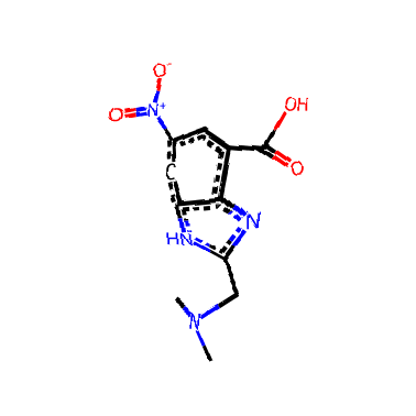 CN(C)Cc1nc2c(C(=O)O)cc([N+](=O)[O-])cc2[nH]1